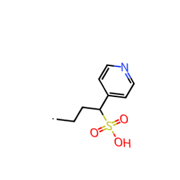 [CH2]CCC(c1ccncc1)S(=O)(=O)O